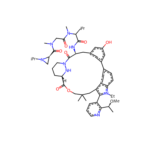 CCn1c(-c2cccnc2[C@H](C)OC)c2c3cc(ccc31)-c1cc(O)cc(c1)C[C@H](NC(=O)C(C(C)C)N(C)C(=O)CN(C)C(=O)[C@H]1CN1C(C)C)C(=O)N1CCC[C@H](N1)C(=O)OCC(C)(C)C2